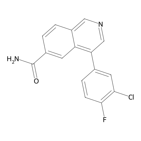 NC(=O)c1ccc2cncc(-c3ccc(F)c(Cl)c3)c2c1